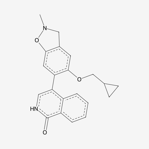 CN1Cc2cc(OCC3CC3)c(-c3c[nH]c(=O)c4ccccc34)cc2O1